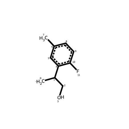 [CH2]C(CO)c1cc(C)ccc1F